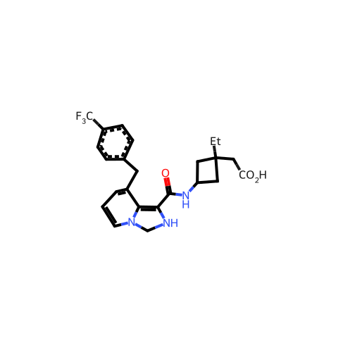 CCC1(CC(=O)O)CC(NC(=O)C2=C3C(Cc4ccc(C(F)(F)F)cc4)=CC=CN3CN2)C1